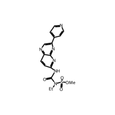 CCN(C(=O)Nc1ccc2ncc(-c3ccncc3)nc2n1)S(=O)(=O)OC